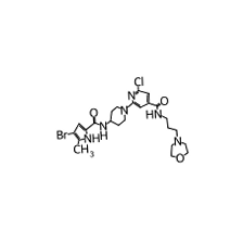 Cc1[nH]c(C(=O)NC2CCN(c3cc(C(=O)NCCCN4CCOCC4)cc(Cl)n3)CC2)cc1Br